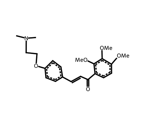 COc1ccc(C(=O)C=Cc2ccc(OCCN(C)C)cc2)c(OC)c1OC